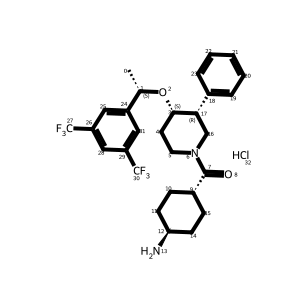 C[C@H](O[C@H]1CCN(C(=O)[C@H]2CC[C@H](N)CC2)C[C@H]1c1ccccc1)c1cc(C(F)(F)F)cc(C(F)(F)F)c1.Cl